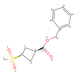 CS(=O)(=O)[C@H]1C[C@@H](C(=O)OCc2ccccc2)C1